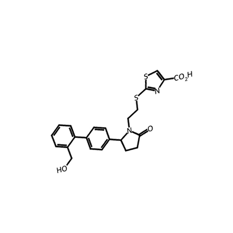 O=C(O)c1csc(SCCN2C(=O)CCC2c2ccc(-c3ccccc3CO)cc2)n1